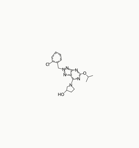 CC(C)Oc1nc(N2CCC(O)C2)c2nn(Cc3ccccc3Cl)nc2n1